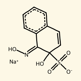 O=S(=O)([O-])C1(O)C=Cc2ccccc2/C1=N\O.[Na+]